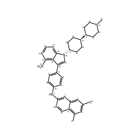 Cc1cc(Cl)cc2nc(Nc3ccc(-c4cn([C@H]5CC[C@H](N6CCN(C)CC6)CC5)c5ncnc(N)c45)cc3)ncc12